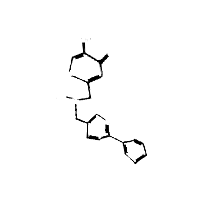 CN(Cc1ccc(-c2ccccc2)nc1)Cc1cc(=O)c(O)c[nH]1